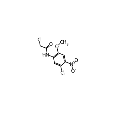 COc1cc([N+](=O)[O-])c(Cl)cc1NC(=O)CCl